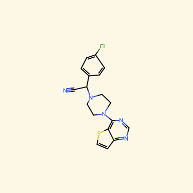 N#CC(c1ccc(Cl)cc1)N1CCN(c2ncnc3ccsc23)CC1